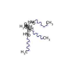 CC/C=C\C/C=C\C/C=C\C/C=C\C/C=C\C/C=C\CCC(=O)NCCCC[C@H](NC(=O)[C@H](CCCCNC(=O)CC/C=C\C/C=C\C/C=C\C/C=C\C/C=C\C/C=C\CC)NC(=O)CC/C=C\C/C=C\C/C=C\C/C=C\C/C=C\C/C=C\CC)C(N)=O